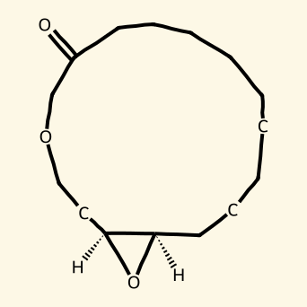 O=C1CCCCCCCCC[C@H]2O[C@H]2CCOC1